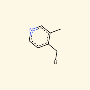 [Li][CH2]c1ccncc1C